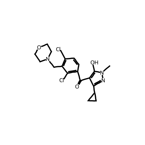 Cn1nc(C2CC2)c(C(=O)c2ccc(Cl)c(CN3CCOCC3)c2Cl)c1O